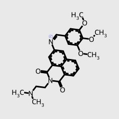 COc1cc(/C=N\c2cc3c4c(cccc4c2)C(=O)N(CCN(C)C)C3=O)cc(OC)c1OC